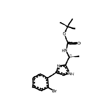 C[C@H](NC(=O)OC(C)(C)C)c1nc(-c2ccccc2Br)c[nH]1